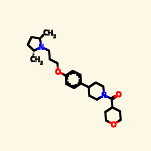 C[C@@H]1CC[C@@H](C)N1CCCOc1ccc(C2CCN(C(=O)C3CCOCC3)CC2)cc1